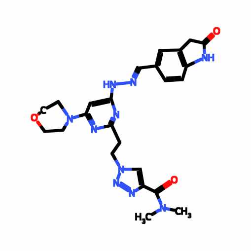 CN(C)C(=O)c1cn(CCc2nc(N/N=C/c3ccc4c(c3)CC(=O)N4)cc(N3CCOCC3)n2)nn1